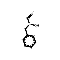 ON(C=S)Cc1ccccc1